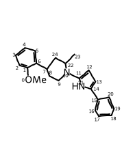 COc1ccccc1C1CCN(c2ccc(-c3ccccc3)[nH]2)C(C)C1